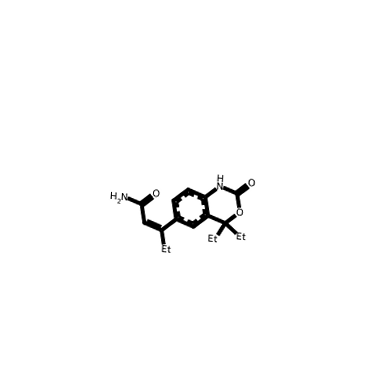 CC/C(=C/C(N)=O)c1ccc2c(c1)C(CC)(CC)OC(=O)N2